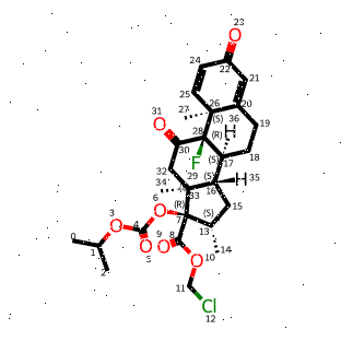 CC(C)OC(=O)O[C@]1(C(=O)OCCl)[C@@H](C)C[C@H]2[C@@H]3CCC4=CC(=O)C=C[C@]4(C)[C@@]3(F)C(=O)C[C@@]21C